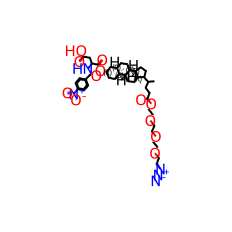 CC(CCC(=O)OCCOCCOCCOCCN=[N+]=[N-])C1CC[C@H]2[C@@H]3CC[C@@H]4C[C@H](OC(=O)C(CC(=O)O)NC(=O)c5ccc([N+](=O)[O-])cc5)CC[C@]4(C)[C@H]3CC[C@]12C